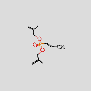 C=C(C)COP(=O)(C=CC#N)OCC(=C)C